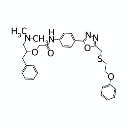 CN(C)CC(Cc1ccccc1)OCC(=O)Nc1ccc(-c2nnc(CSCCOc3ccccc3)o2)cc1